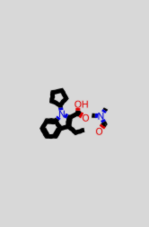 CCc1c(C(=O)O)n(C2CCCC2)c2ccccc12.CN(C)C=O